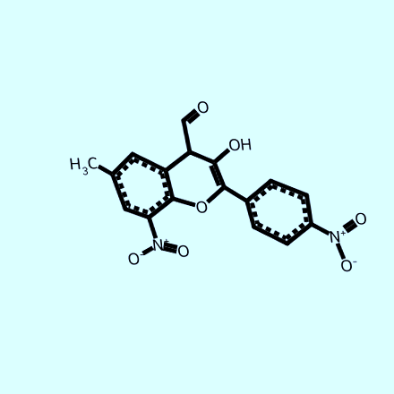 Cc1cc2c(c([N+](=O)[O-])c1)OC(c1ccc([N+](=O)[O-])cc1)=C(O)C2C=O